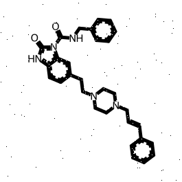 O=C(NCc1ccccc1)n1c(=O)[nH]c2ccc(CCN3CCN(C/C=C/c4ccccc4)CC3)cc21